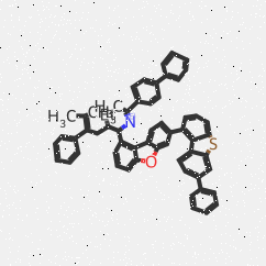 CCC(CC(=C(C)C)c1ccccc1)C(/N=C(\C)c1ccc(-c2ccccc2)cc1)c1cccc2oc3cc(-c4cccc5sc6cc(-c7ccccc7)ccc6c45)ccc3c12